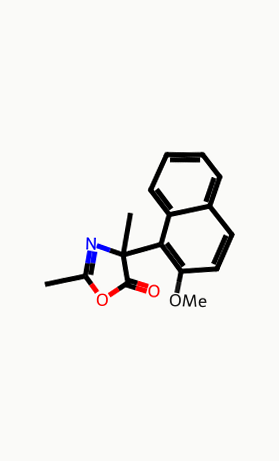 COc1ccc2ccccc2c1C1(C)N=C(C)OC1=O